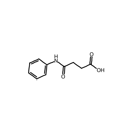 O=C(O)CCC(=O)Nc1c[c]ccc1